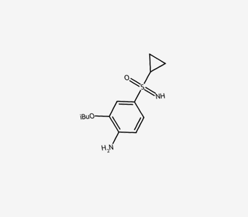 CC(C)COc1cc(S(=N)(=O)C2CC2)ccc1N